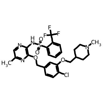 Cc1cnc(NS(=O)(=O)c2ccccc2C(F)(F)F)c(OCc2ccc(Cl)c(OCC3CCN(C)CC3)c2)n1